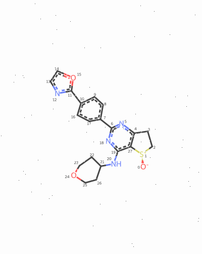 [O-][S@+]1CCc2nc(-c3ccc(-c4ncco4)cc3)nc(NC3CCOCC3)c21